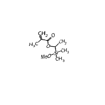 C=C(C)C(=O)OC(C)[Si](C)(C)OC